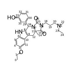 CCOc1ccc2[nH]c3c(c2c1)CC1(C)C(=O)N(CCCN(C)CC)C(=O)N1C3c1cccc(O)c1